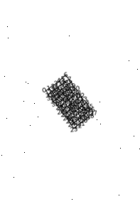 C1C2C3C4C5C6CC7C8C9C%10C%11C%12C%13C%14C%15C%16CC%17C%18C%19C%20C%21CC%22C%23C%24C%25C%26C%27C%28C%29C%30C1C21C32C43C54C67C85C96C%107C%118C%129C%13%10C%14%11C%15%12C%17%16C%18%13C%19%14C%20%15C%21%22C%23%16C%24%17C%25%18C%26%19C%27%20C%28%21C%29%22C%301C21C32C45C63C74C85C96C%107C%118C%13%12C%149C%15%16C%17%10C%18%11C%19%12C%20%13C%21%14C%221C23C%144C%135C%126C%117C9%108